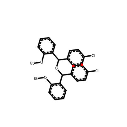 CCOc1ccccc1C(OC(c1ccc(Cl)cc1)c1ccccc1OCC)c1ccc(Cl)cc1